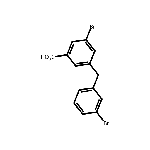 O=C(O)c1cc(Br)cc(Cc2cccc(Br)c2)c1